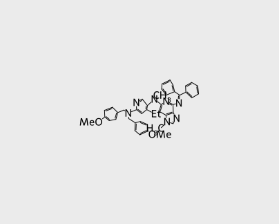 CCc1cc(N(Cc2ccc(OC)cc2)Cc2ccc(OC)cc2)ncc1N(C)c1cc2c(ncn2C)c(N=C(c2ccccc2)c2ccccc2)n1